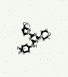 Cc1ccn(-c2nc(NC3CCC(F)(F)CC3)nc(N3CCOCC3)n2)n1